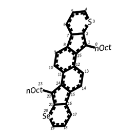 CCCCCCCCc1c2scccc-2c2ccc3c(ccc4c5ccc[se]c-5c(CCCCCCCC)c43)c12